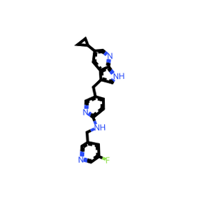 Fc1cncc(CNc2ccc(Cc3c[nH]c4ncc(C5CC5)cc34)cn2)c1